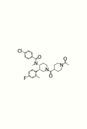 CC(=O)N1CCC(C(=O)N2CC[C@@H](N(C)C(=O)c3ccc(Cl)cc3)[C@H](c3ccc(F)cc3C)C2)CC1